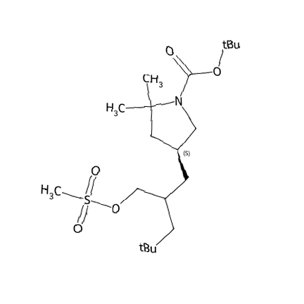 CC(C)(C)CC(COS(C)(=O)=O)C[C@@H]1CN(C(=O)OC(C)(C)C)C(C)(C)C1